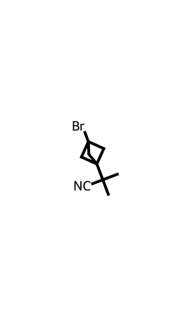 CC(C)(C#N)C12CC(Br)(C1)C2